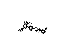 C#Cc1cccc(S(=O)(=O)N2CCN(c3ccc(-c4cc(-c5cnn(C)c5)cn5ncc(C#N)c45)cn3)CC2)c1